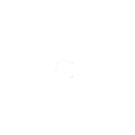 O=C1OCCC(O)C(O)C(O)C1O